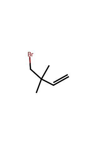 C=CC(C)(C)CBr